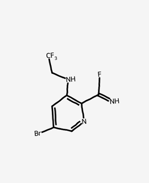 N=C(F)c1ncc(Br)cc1NCC(F)(F)F